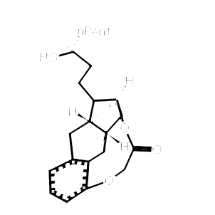 CCCCC[C@@H](O)CCC1[C@H]2Cc3cccc4c3C[C@H]2C[C@H]1OC(=O)CO4